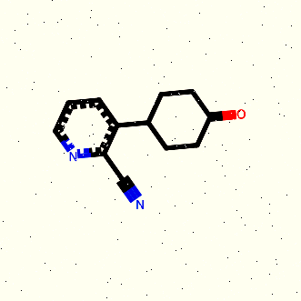 N#Cc1ncccc1C1CCC(=O)CC1